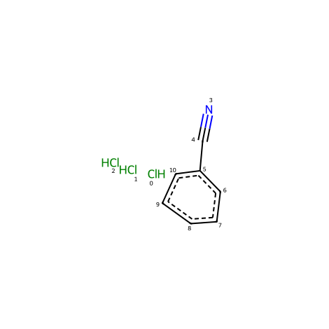 Cl.Cl.Cl.N#Cc1ccccc1